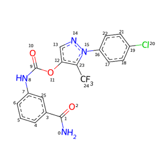 NC(=O)c1cccc(NC(=O)Oc2cnn(-c3ccc(Cl)cc3)c2C(F)(F)F)c1